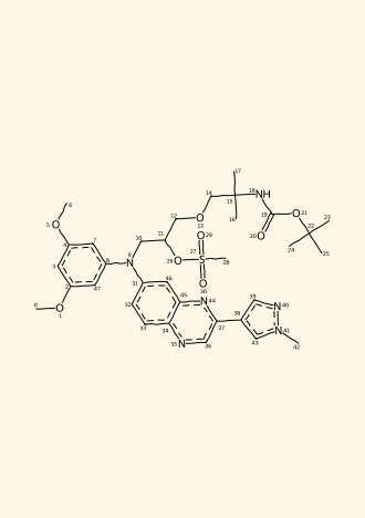 COc1cc(OC)cc(N(CC(COCC(C)(C)NC(=O)OC(C)(C)C)OS(C)(=O)=O)c2ccc3ncc(-c4cnn(C)c4)nc3c2)c1